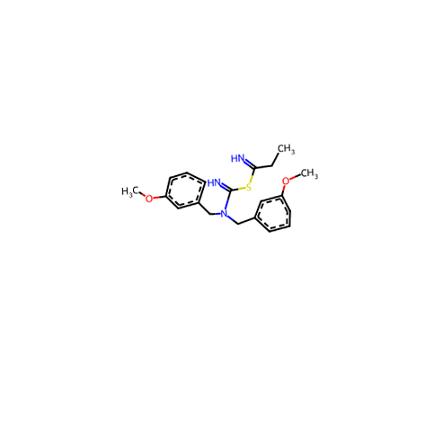 CCC(=N)SC(=N)N(Cc1cccc(OC)c1)Cc1cccc(OC)c1